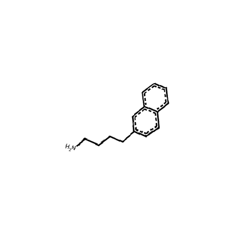 NCCCCc1ccc2ccccc2c1